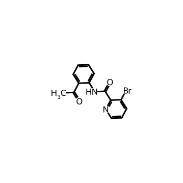 CC(=O)c1ccccc1NC(=O)c1ncccc1Br